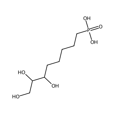 O=P(O)(O)CCCCCC(O)C(O)CO